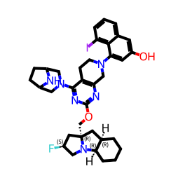 Oc1cc(N2CCc3c(nc(OC[C@@]45C[C@H](F)CN4[C@@H]4CCCC[C@@H]4C5)nc3N3CC4CCC(C3)N4)C2)c2c(I)cccc2c1